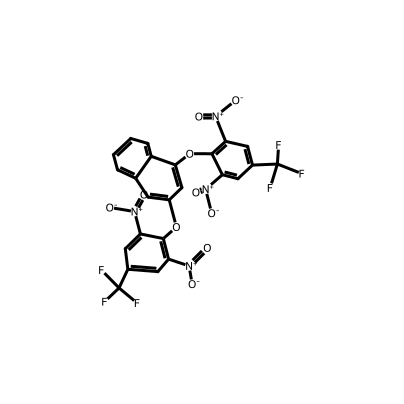 O=[N+]([O-])c1cc(C(F)(F)F)cc([N+](=O)[O-])c1Oc1cc(Oc2c([N+](=O)[O-])cc(C(F)(F)F)cc2[N+](=O)[O-])c2ccccc2c1